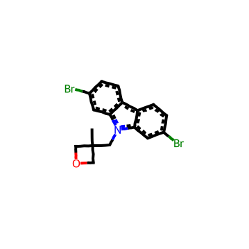 CC1(Cn2c3cc(Br)ccc3c3ccc(Br)cc32)COC1